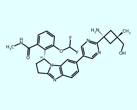 CNC(=O)c1cccc(OC(F)F)c1[C@H]1CCc2nc3ccc(-c4cnc([C@]5(N)C[C@@](C)(CO)C5)nc4)cc3n21